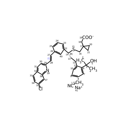 CC#N.CC(C)(O)c1ccccc1CC[C@@H](SCC1(CC(=O)[O-])CC1)c1cccc(/C=C/c2ccc3ccc(Cl)cc3n2)c1.[Na+]